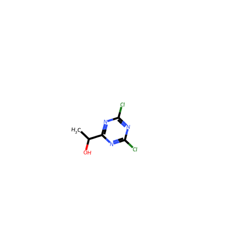 CC(O)c1nc(Cl)nc(Cl)n1